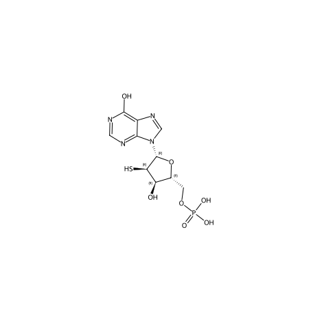 O=P(O)(O)OC[C@H]1O[C@@H](n2cnc3c(O)ncnc32)[C@H](S)[C@@H]1O